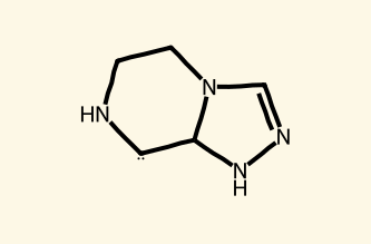 [C]1NCCN2C=NNC12